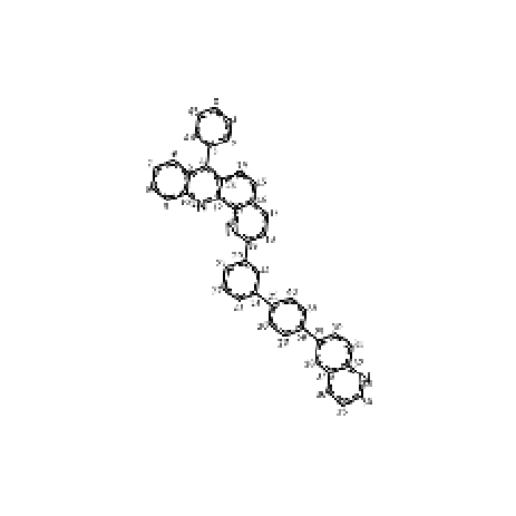 c1ccc(-c2c3ccccc3nc3c2ccc2ccc(-c4cccc(-c5ccc(-c6ccc7ncccc7c6)cc5)c4)nc23)cc1